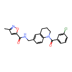 Cc1cc(C(=O)NCc2ccc3c(c2)CCCN3C(=O)c2cccc(Cl)c2)on1